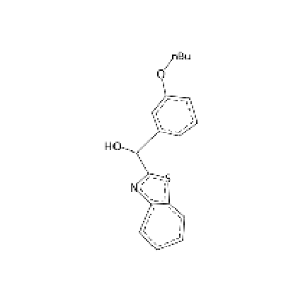 CCCCOc1cccc(C(O)c2nc3ccccc3s2)c1